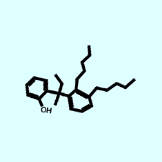 CCCCCc1cccc(C(C)(CC)c2ccccc2O)c1CCCCC